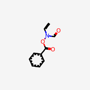 C=CN(C=O)OC(=O)c1ccccc1